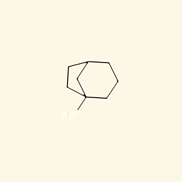 CC12CCCC(CC1)C2